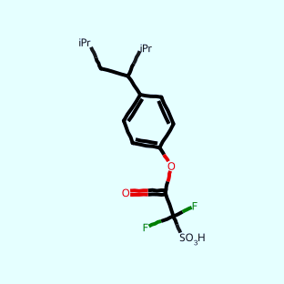 CC(C)CC(c1ccc(OC(=O)C(F)(F)S(=O)(=O)O)cc1)C(C)C